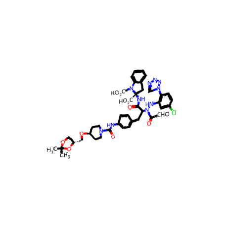 CC1(C)OC[C@H](COC2CCN(C(=O)Nc3ccc(CC(C(=O)N[C@@]4(C(=O)O)Cc5ccccc5N4C(=O)O)N(Nc4cc(Cl)ccc4-n4cnnn4)C(=O)C=O)cc3)CC2)O1